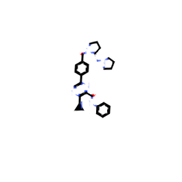 O=C(Nc1ccccc1)c1nc(-c2ccc(C(=O)N3CCC[C@@H]3CN3CCCC3)cc2)cnc1C1=CC1